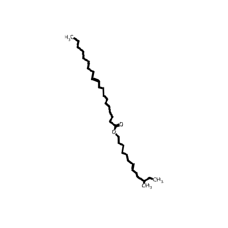 CCCCCCCCC=CCCCCCCCCCC(=O)OCCCCCCCCCCC(C)CC